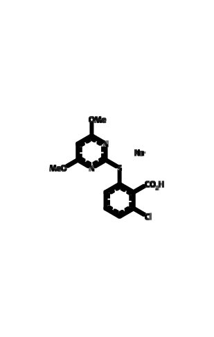 COc1cc(OC)nc(Sc2cccc(Cl)c2C(=O)O)n1.[Na]